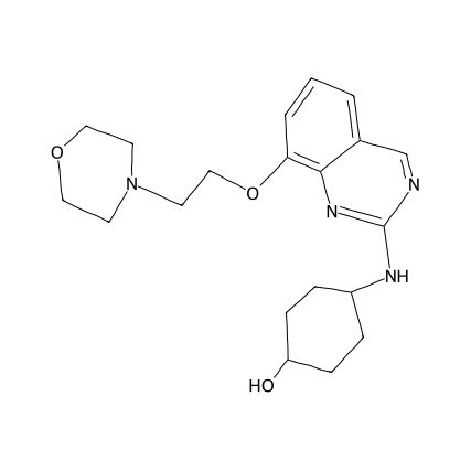 OC1CCC(Nc2ncc3cccc(OCCN4CCOCC4)c3n2)CC1